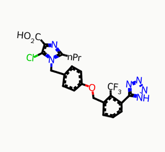 CCCc1nc(C(=O)O)c(Cl)n1Cc1ccc(OCc2cccc(-c3nnn[nH]3)c2C(F)(F)F)cc1